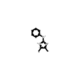 Cc1nc(Oc2ccccc2)oc1C